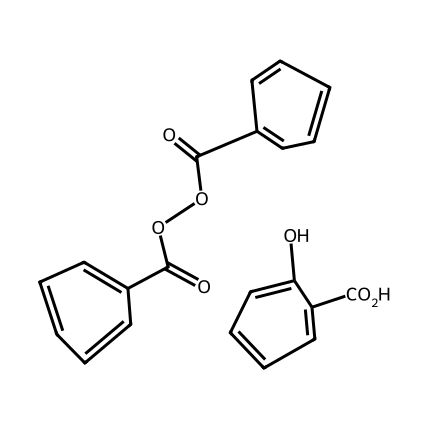 O=C(O)c1ccccc1O.O=C(OOC(=O)c1ccccc1)c1ccccc1